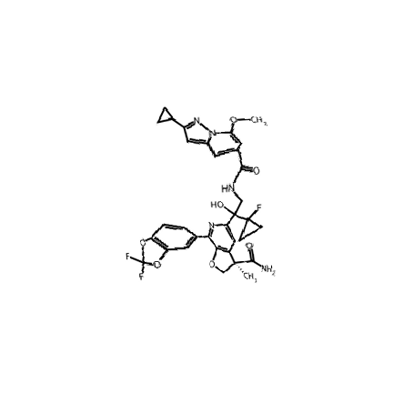 COc1cc(C(=O)NCC(O)(c2cc3c(c(-c4ccc5c(c4)OC(F)(F)O5)n2)OC[C@]3(C)C(N)=O)C2(F)CC2)cc2cc(C3CC3)nn12